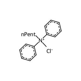 CCCCC[N+](C)(c1ccccc1)c1ccccc1.[Cl-]